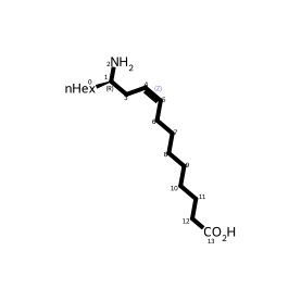 CCCCCC[C@@H](N)C/C=C\CCCCCCCC(=O)O